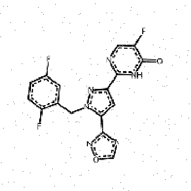 O=c1[nH]c(-c2cc(-c3ncon3)n(Cc3cc(F)ccc3F)n2)ncc1F